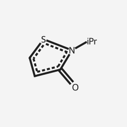 CC(C)n1sccc1=O